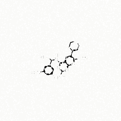 COc1nc2nc(C)nc(NC(C)c3cc(N)cc(C(F)(F)F)c3)c2cc1C1=CCOCC1